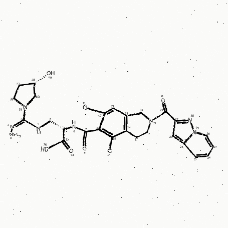 N/N=C(\NC[C@H](NC(=O)c1c(Cl)cc2c(c1Cl)CCN(C(=O)c1cc3ccccn3n1)C2)C(=O)O)N1CC[C@H](O)C1